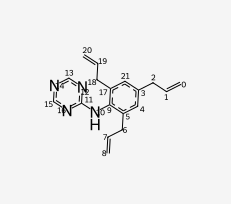 C=CCc1cc(CC=C)c(Nc2ncncn2)c(CC=C)c1